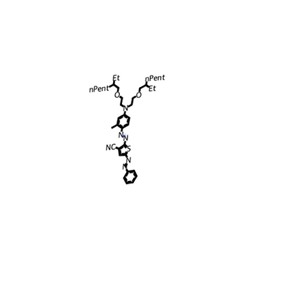 CCCCCC(CC)COCCN(CCOCC(CC)CCCCC)c1ccc(/N=N/c2sc(N=Nc3ccccc3)cc2C#N)c(C)c1